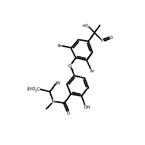 CCOC(=O)C(C(C)C)N(C)C(=O)c1cc(Oc2c(Br)cc(C(C)(O)P=O)cc2Br)ccc1O